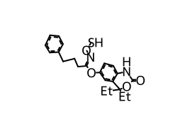 CCC1(CC)OC(=O)Nc2ccc(OC(CCCc3ccccc3)=NOS)cc21